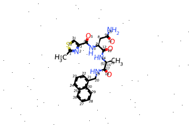 Cc1nc(C(=O)N[C@@H](CC(N)=O)C(=O)N[C@@H](C)C(=O)NCc2cccc3ccccc23)cs1